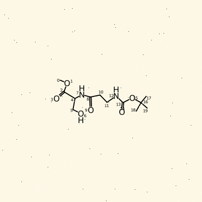 COC(=O)C(CO)NC(=O)CCNC(=O)OC(C)(C)C